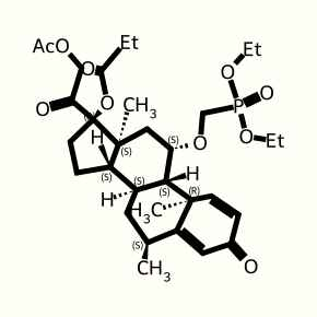 CCOP(=O)(CO[C@H]1C[C@@]2(C)[C@@H](CC[C@]2(OC(=O)CC)C(=O)COC(C)=O)[C@@H]2C[C@H](C)C3=CC(=O)C=C[C@]3(C)[C@H]21)OCC